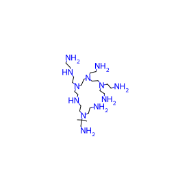 CC(C)(CN)N(CCN)CCNCCN(CCNCCN)CCN(CCN)CCN(CCN)CCN